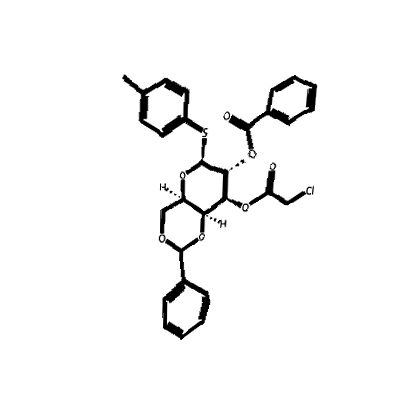 Cc1ccc(S[C@@H]2O[C@@H]3COC(c4ccccc4)O[C@@H]3[C@H](OC(=O)CCl)[C@H]2OC(=O)c2ccccc2)cc1